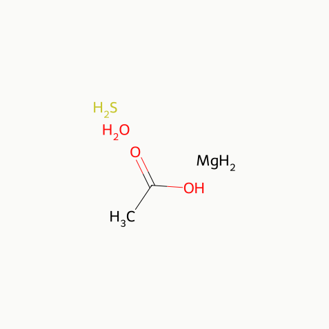 CC(=O)O.O.S.[MgH2]